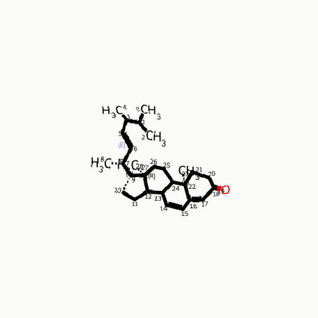 CC(C)C(C)/C=C/[C@@H](C)[C@H]1CCC2C3C=CC4=CC(=O)CC[C@]4(C)C3CC[C@@]21C